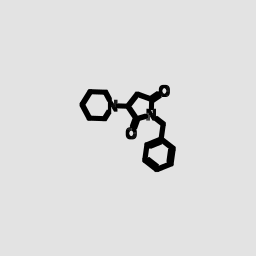 O=C1CC(N2CCCCC2)C(=O)N1Cc1ccccc1